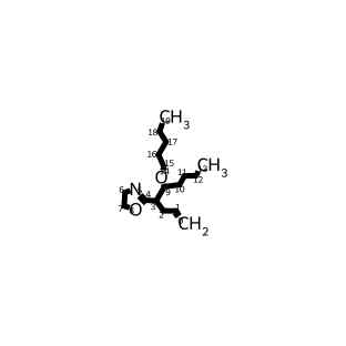 C=CCC(C1=NCCO1)C(CCCC)OCCCCC